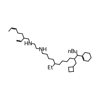 C=CC(CC/C=C\C)CNCCNCCCCC(CC)CCCCC(CC1CCC1)C(CCCC)C1=CCCCC1